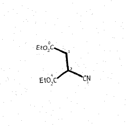 CCOC(=O)CC(C#N)C(=O)OCC